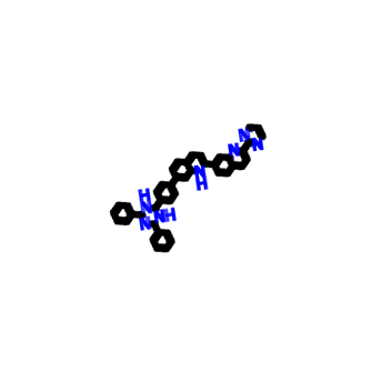 C1=CC2=CC=C(c3ccc4ccc(-c5ncccn5)nc4c3)NC2C=C1c1ccc(C2NC(c3ccccc3)=NC(c3ccccc3)N2)cc1